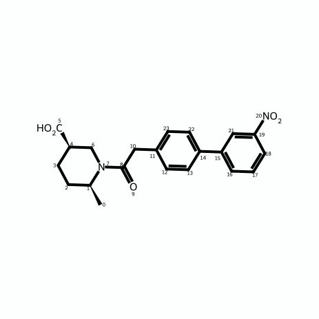 C[C@H]1CC[C@@H](C(=O)O)CN1C(=O)Cc1ccc(-c2cccc([N+](=O)[O-])c2)cc1